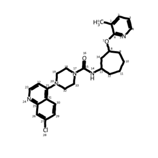 Cc1cccnc1OC1CCCCC(NC(=O)N2CCN(c3ccnc4cc(Cl)ccc34)CC2)C1